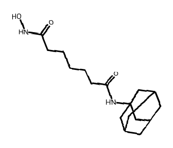 O=C(CCCCCC(=O)NC12CC3CC(CC(C3)C1)C2)NO